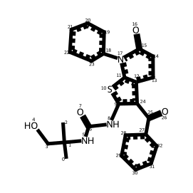 CC(C)(CO)NC(=O)Nc1sc2c(ccc(=O)n2-c2ccccc2)c1C(=O)c1ccccc1